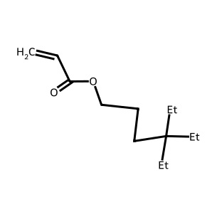 C=CC(=O)OCCCC(CC)(CC)CC